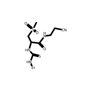 CCNC(=S)NC(CS(C)(=O)=O)C(=O)NCCC#N